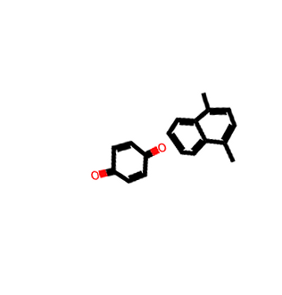 Cc1ccc(C)c2ccccc12.O=C1C=CC(=O)C=C1